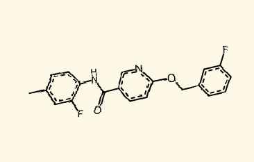 Cc1ccc(NC(=O)c2ccc(OCc3cccc(F)c3)nc2)c(F)c1